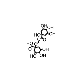 O=C(OCO[C@]1(C(=O)O)C[C@@H](O)[C@H](O)[C@H](O)C1)[C@]1(O)C[C@@H](O)[C@@H](O)[C@H](O)C1